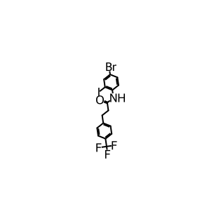 O=C(CCc1ccc(C(F)(F)F)cc1)Nc1ccc(Br)cc1I